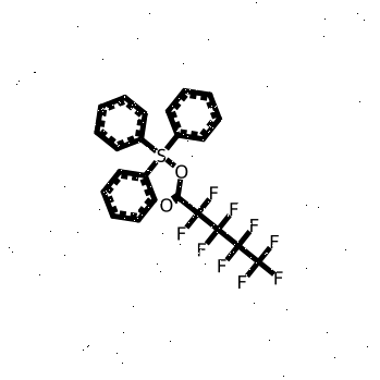 O=C(OS(c1ccccc1)(c1ccccc1)c1ccccc1)C(F)(F)C(F)(F)C(F)(F)C(F)(F)F